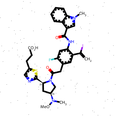 C=C(I)c1cc(CC(=O)N2C[C@@H](N(C)OC)C[C@H]2c2ncc(CCC(=O)O)s2)c(F)cc1NC(=O)c1cn(C)c2ccccc12